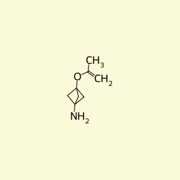 C=C(C)OC12CC(N)(C1)C2